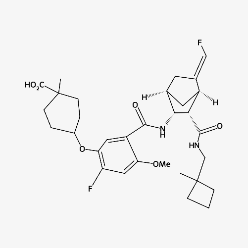 COc1cc(F)c(OC2CCC(C)(C(=O)O)CC2)cc1C(=O)N[C@@H]1[C@H]2C/C(=C\F)[C@H](C2)[C@@H]1C(=O)NCC1(C)CCC1